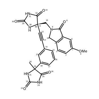 COc1ccc2c(c1)C(=O)N(C[C@@]1(C#Cc3cccc(C4(C)NC(=O)NC4=O)c3)NC(=O)NC1=O)C2